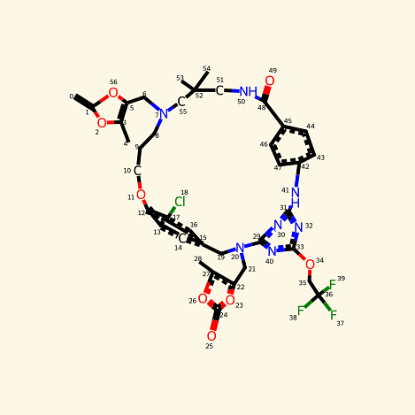 C=C1OC(C)=C(CN2CCCOc3ccc(cc3Cl)CN(Cc3oc(=O)oc3C)c3nc(nc(OCC(F)(F)F)n3)Nc3ccc(cc3)C(=O)NCC(C)(C)C2)O1